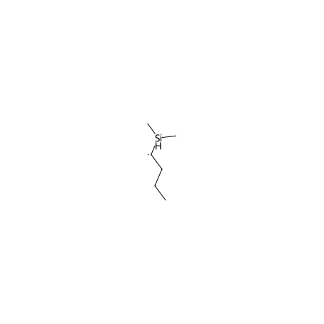 CCC[CH][SiH](C)C